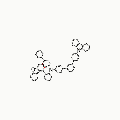 c1ccc(-c2ccc(N(c3ccc(-c4cccc(-c5ccc(-n6c7ccccc7c7ccccc76)cc5)c4)cc3)c3ccccc3-c3cccc4oc5ccccc5c34)cc2)cc1